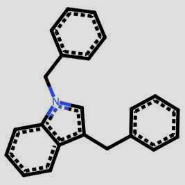 c1ccc(Cc2cn(Cc3ccccc3)c3ccccc23)cc1